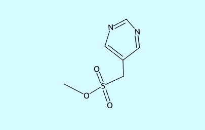 COS(=O)(=O)Cc1cncnc1